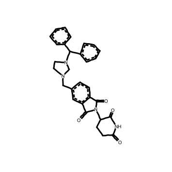 O=C1CCC(N2C(=O)c3ccc(CN4CCN(C(c5ccccc5)c5ccccc5)C4)cc3C2=O)C(=O)N1